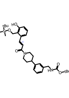 CC(C)(C)OC(=O)NCc1cccc(C2CCN(C(=O)/C=C/c3cccc(O)c3CO[Si](C)(C)C(C)(C)C)CC2)c1